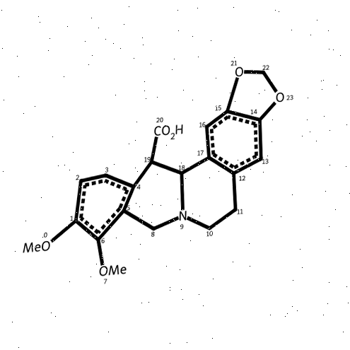 COc1ccc2c(c1OC)CN1CCc3cc4c(cc3C1C2C(=O)O)OCO4